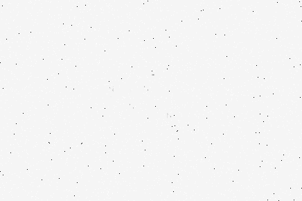 CC1CCCN(C(=O)C2Cc3ccccc3N2c2cnccn2)C1